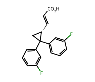 O=C(O)/C=C/[C@H]1CC1(c1cccc(F)c1)c1cccc(F)c1